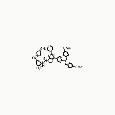 COc1ccc(CN(Cc2ccc(OC)cc2)c2ncc(-c3nc(N4CCOCC4)nc4c3CCN4C(=S)Nc3cc(C(=O)N4CCN(C)CC4)ccc3C)cn2)cc1